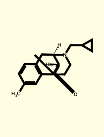 Cc1ccc2c(c1)[C@]13CCN(CC4CC4)[C@H](C2)[C@@H]1C=CC(=O)C3